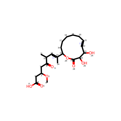 COC(CC(=O)O)CC(=O)C(C)/C=C(\C)C1CCCCC/C=C/C(O)C(O)C(=O)O1